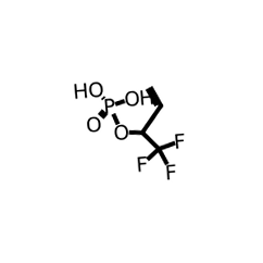 C=CC(OP(=O)(O)O)C(F)(F)F